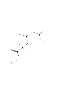 CC(O)CC(C)CC(C)(C)C(=O)OO